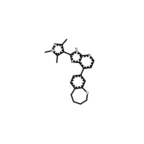 Cc1nn(C)c(C)c1-c1nc2c(-c3ccc4c(c3)OCCCC4)ccnc2[nH]1